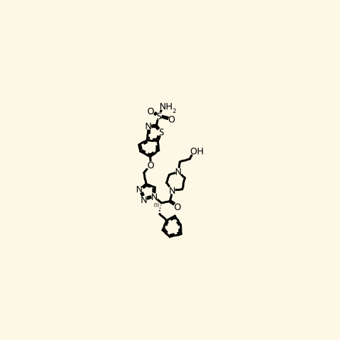 NS(=O)(=O)c1nc2ccc(OCc3cn([C@@H](Cc4ccccc4)C(=O)N4CCN(CCO)CC4)nn3)cc2s1